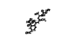 CCC[C@@H](CN(C)/C=C(\S)c1ccc(C=O)cc1S(=O)(=O)NCC)NC(=O)OC(C)C